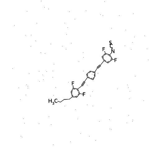 CCCCc1cc(F)c(C#Cc2ccc(C#Cc3cc(F)c(N=C=S)c(F)c3)cc2)c(F)c1